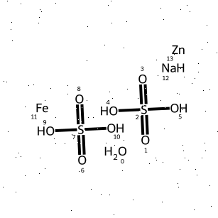 O.O=S(=O)(O)O.O=S(=O)(O)O.[Fe].[NaH].[Zn]